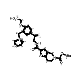 CC(C)(C)OC(=O)N1CCc2sc(C(=O)NCC(=O)c3ccc(OCC(=O)O)c(Cn4ccnc4)c3)cc2C1